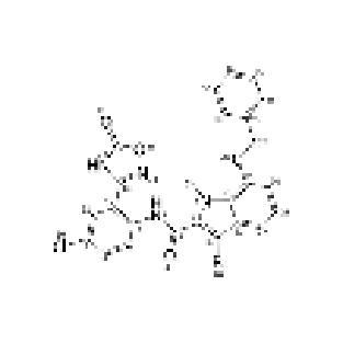 Cn1c(C(=O)Nc2ccc(Cl)cc2-c2noc(=O)[nH]2)c(Br)c2cccc(OCc3ccccc3)c21